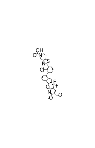 COc1nc(OC2CCc3c(-c4cccc(-c5nc6c(s5)CCN(C(=O)O)C6)c4Cl)cccc32)c(C(F)(F)F)cc1C=O